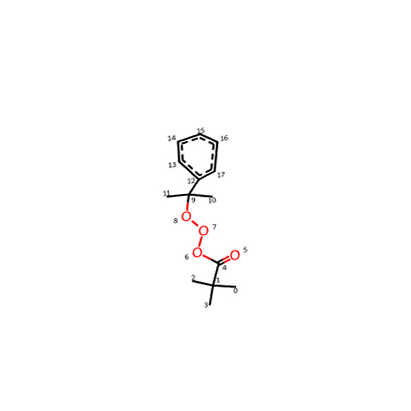 CC(C)(C)C(=O)OOOC(C)(C)c1ccccc1